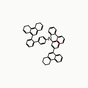 C1=Cc2cc(-c3ccccc3-c3ccc(N(c4cccc(-c5cc6c(c7ccccc57)CCCC6)c4)c4ccccc4-c4ccccc4)cc3)c3c(c2CC1)CCC=C3